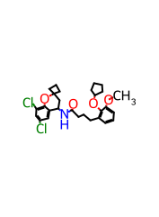 COc1cccc(CCCC(=O)NC2CC3(CCC3)Oc3c(Cl)cc(Cl)cc32)c1OC1CCCC1